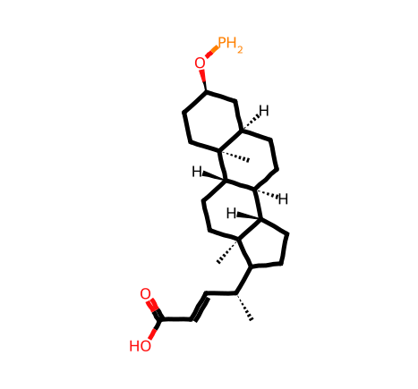 C[C@H](/C=C/C(=O)O)C1CC[C@H]2[C@@H]3CC[C@@H]4C[C@H](OP)CC[C@]4(C)[C@H]3CC[C@]12C